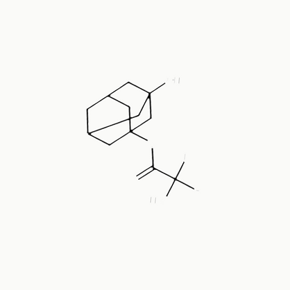 CCC(C)(F)C(=O)OC12CC3CC(CC(O)(C3)C1)C2